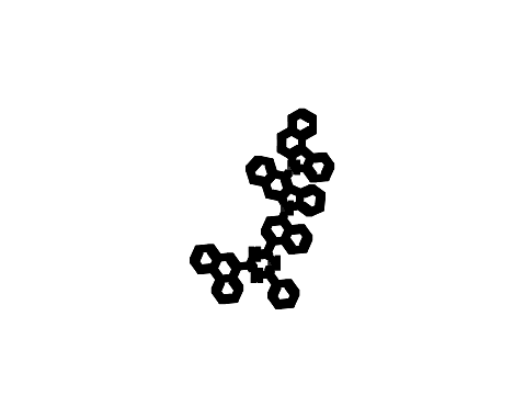 c1ccc(-c2nc(-c3ccc(-n4c5ccccc5c5c(-n6c7ccccc7c7c8ccccc8ccc76)c6ccccc6cc54)c4ccccc34)nc(-c3cc4ccccc4c4ccccc34)n2)cc1